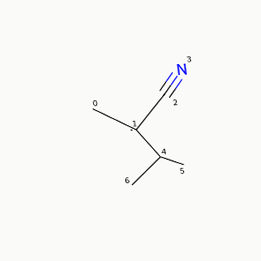 C[C](C#N)C(C)C